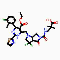 CCOC(=O)C1=C(CN2CC(F)(F)C3C(=O)N(C(=O)NCC(C)(C)C(=O)O)CC32)NC(c2nccs2)=NC1c1cccc(F)c1C